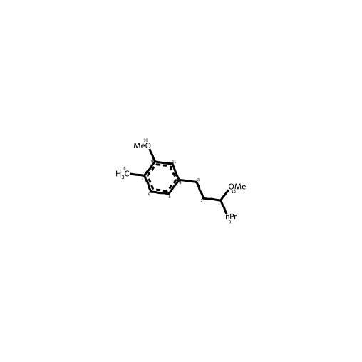 CCCC(CCc1ccc(C)c(OC)c1)OC